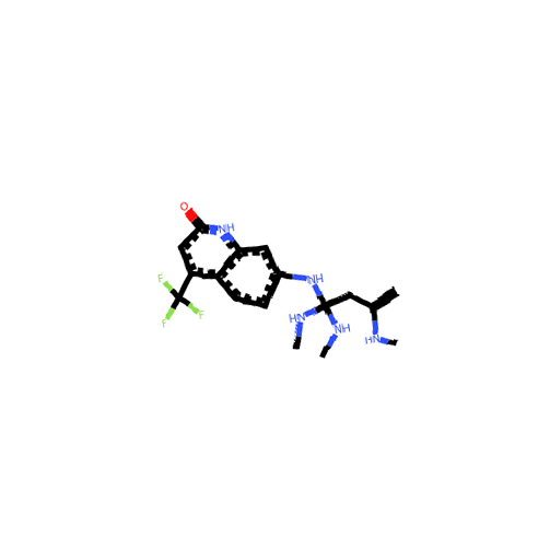 C=C(CC(NC)(NC)Nc1ccc2c(C(F)(F)F)cc(=O)[nH]c2c1)NC